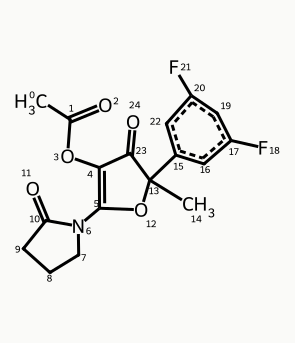 CC(=O)OC1=C(N2CCCC2=O)OC(C)(c2cc(F)cc(F)c2)C1=O